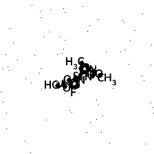 COc1cnc2c(-c3nc4cc(F)c5c(c4s3)OC[C@H](CO)O5)cc(C)cc2n1